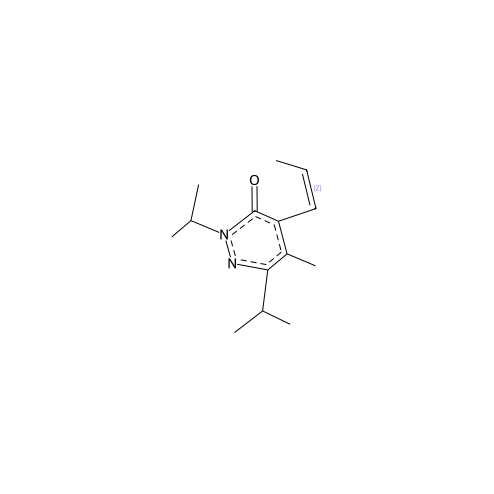 C/C=C\c1c(C)c(C(C)C)nn(C(C)C)c1=O